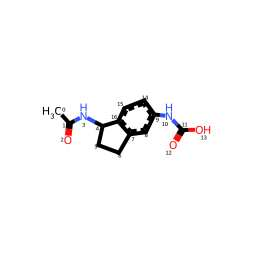 CC(=O)NC1CCc2cc(NC(=O)O)ccc21